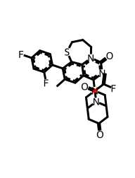 C=C(F)C(=O)N1C2CC(=O)CC1CN(c1nc(=O)n3c4c(c(-c5ccc(F)cc5F)c(C)cc14)SCCC3)C2